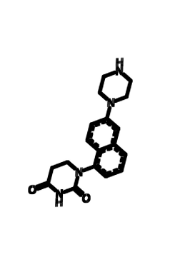 O=C1CCN(c2cccc3cc(N4CCNCC4)ccc23)C(=O)N1